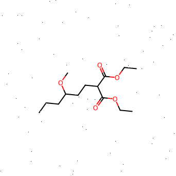 CCCC(CCC(C(=O)OCC)C(=O)OCC)OC